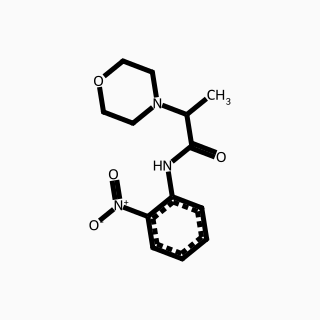 CC(C(=O)Nc1ccccc1[N+](=O)[O-])N1CCOCC1